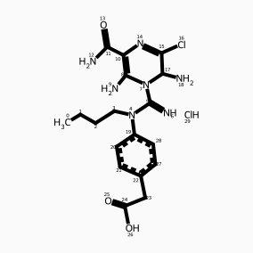 CCCCN(C(=N)N1C(N)=C(C(N)=O)N=C(Cl)C1N)c1ccc(CC(=O)O)cc1.Cl